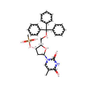 Cc1cn([C@H]2C[C@H](OS(C)(=O)=O)[C@@H](COC(c3ccccc3)(c3ccccc3)c3ccccc3)O2)c(=O)[nH]c1=O